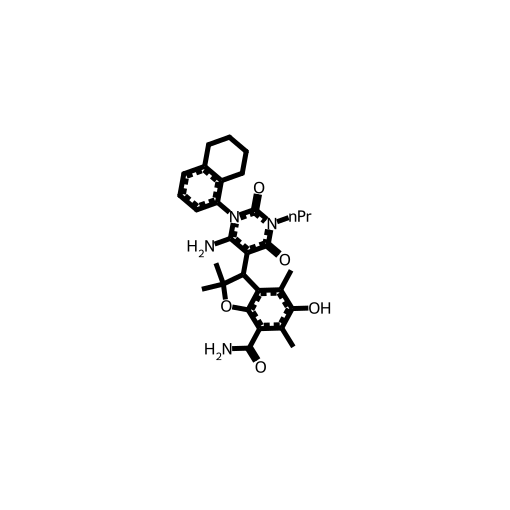 CCCn1c(=O)c(C2c3c(C)c(O)c(C)c(C(N)=O)c3OC2(C)C)c(N)n(-c2cccc3c2CCCC3)c1=O